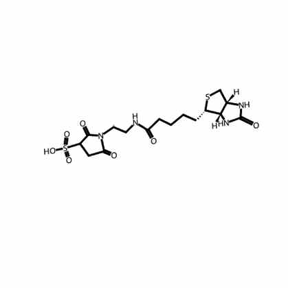 O=C(CCCC[C@@H]1SC[C@@H]2NC(=O)N[C@@H]21)NC[CH]N1C(=O)CC(S(=O)(=O)O)C1=O